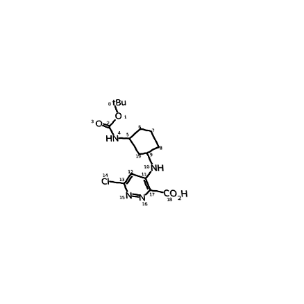 CC(C)(C)OC(=O)NC1CCCC(Nc2cc(Cl)nnc2C(=O)O)C1